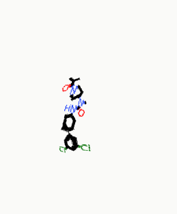 CC(C)C(=O)N1CCC(N(C)C(=O)N[C@H]2CC[C@@]3(c4cc(Cl)cc(Cl)c4)CC3C2)CC1